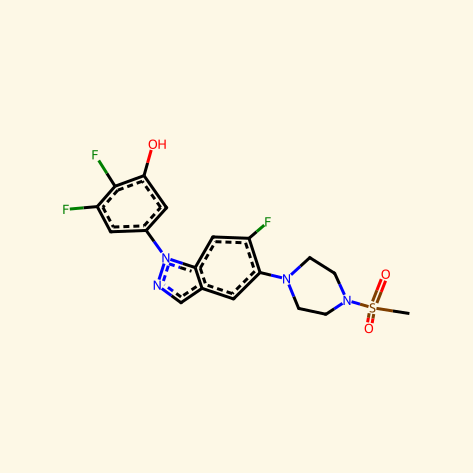 CS(=O)(=O)N1CCN(c2cc3cnn(-c4cc(O)c(F)c(F)c4)c3cc2F)CC1